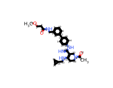 COCCC(=O)NCc1cccc(-c2ccc(NC(=N)C3=C(NCC4CC4)CCN(C(C)=O)C3)cc2)c1